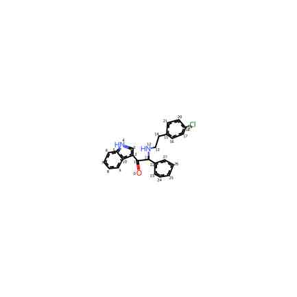 O=C(c1c[nH]c2ccccc12)C(NCCc1ccc(Cl)cc1)c1ccccc1